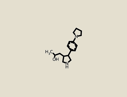 CC(O)CC1CNCC1c1ccc(N2CCCC2)cc1